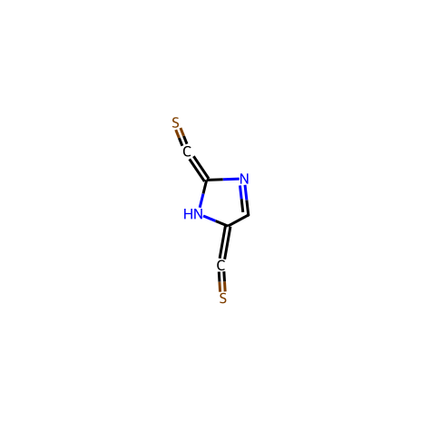 S=C=c1cnc(=C=S)[nH]1